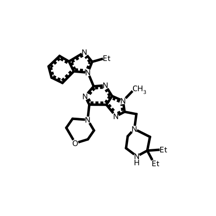 CCc1nc2ccccc2n1-c1nc(N2CCOCC2)c2nc(CN3CCNC(CC)(CC)C3)n(C)c2n1